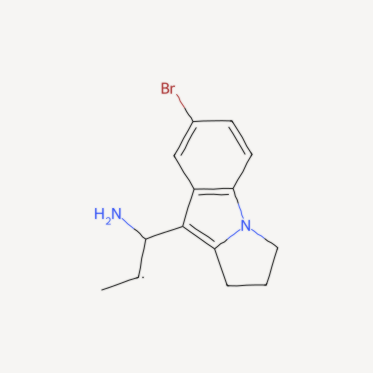 C[CH]C(N)c1c2n(c3ccc(Br)cc13)CCC2